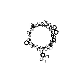 CC[C@H](C)[C@@H]1NC(=O)[C@H](CC(C)C)N(C)C(=O)C[C@@H](C(=O)N2CCCCC2)N(C)C(=O)[C@H](C2CCCCC2)N(C)C(=O)C2(CCCC2)NC(=O)[C@@H]2COCCN2C(=O)[C@H](CCc2ccc(C(F)(F)F)c(Cl)c2)NC(=O)CN(C)C(=O)[C@H](CC2CCCCC2)N(C)C(=O)CN(C)C(=O)CN(C)C1=O